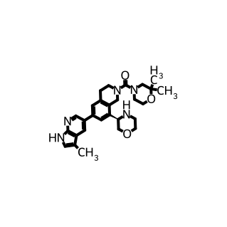 Cc1c[nH]c2ncc(-c3cc4c(c([C@@H]5COCCN5)c3)CN(C(=O)N3CCOC(C)(C)C3)CC4)cc12